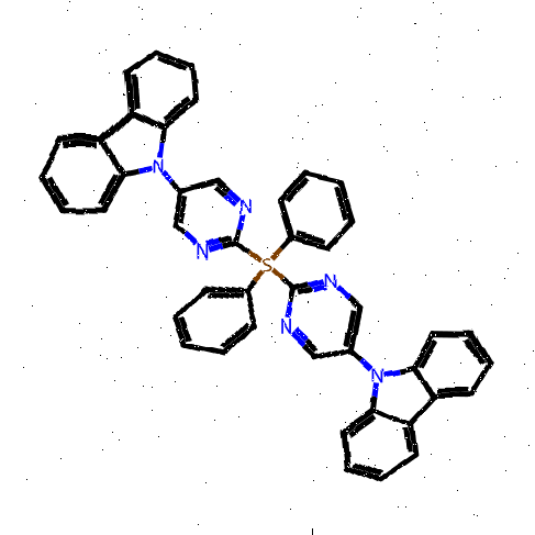 c1ccc(S(c2ccccc2)(c2ncc(-n3c4ccccc4c4ccccc43)cn2)c2ncc(-n3c4ccccc4c4ccccc43)cn2)cc1